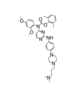 COc1ccc(N(C(=O)Oc2c(C)cccc2C)c2ccnc(Nc3ccc(N4CCN(CCCN(C)C)CC4)cc3)n2)c(OC)c1